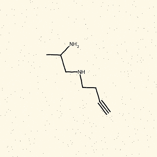 C#CCCNCC(C)N